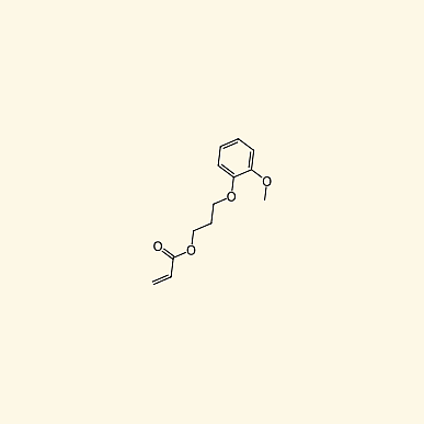 C=CC(=O)OCCCOc1ccccc1OC